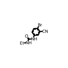 CCNC(=O)Nc1ccc(Br)c(C#N)c1